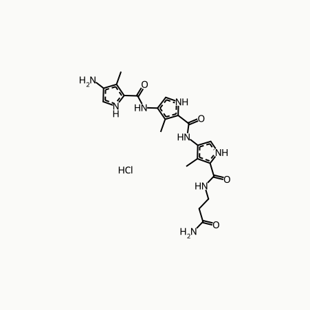 Cc1c(N)c[nH]c1C(=O)Nc1c[nH]c(C(=O)Nc2c[nH]c(C(=O)NCCC(N)=O)c2C)c1C.Cl